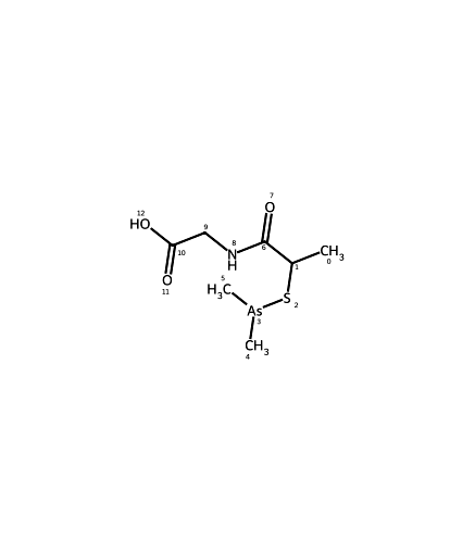 CC(S[As](C)C)C(=O)NCC(=O)O